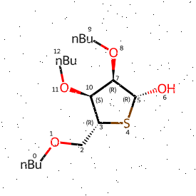 CCCCOC[C@H]1S[C@@H](O)[C@H](OCCCC)[C@@H]1OCCCC